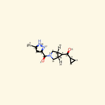 CC(C)c1cc(C(=O)N2C[C@@H]3C(C(=O)C4CC4)[C@@H]3C2)n[nH]1